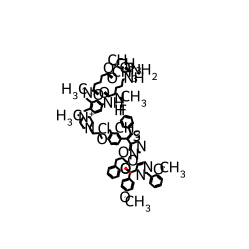 CNC(CCCNC(N)=O)C(=O)Nc1ccc(C[N+]2(C)CCN(CCOc3ccc(-c4c(-c5ccc(F)cc5)sc5ncnc(OC(Cc6ccccc6OCc6ccnc(-c7ccccc7OC)n6)C(=O)OCc6ccc(OC)cc6)c45)c(C)c3Cl)CC2)c(CN(C)C(=O)CCCC(=O)OC(C)(C)C)c1